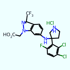 Cl.O=C(O)Cn1nc(C(F)(F)F)c2ccc(NC3(c4c(F)ccc(Cl)c4Cl)CCNC3)cc21